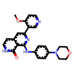 COc1ccncc1-c1cc2cc[nH]c(=O)c2c(Nc2ccc(N3CCOCC3)cc2)n1